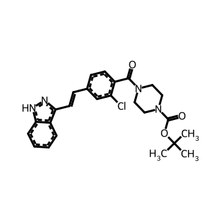 CC(C)(C)OC(=O)N1CCN(C(=O)c2ccc(C=Cc3n[nH]c4ccccc34)cc2Cl)CC1